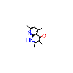 Cc1cc(C)c2c(=O)c(C)c(C)[nH]c2n1